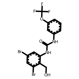 O=C(Nc1cccc(OC(F)(F)F)c1)Nc1cc(Br)cc(Br)c1CO